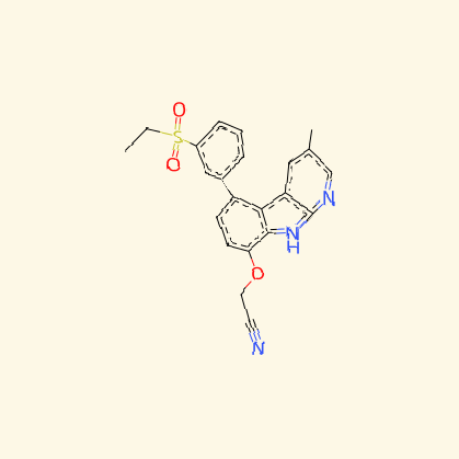 CCS(=O)(=O)c1cccc(-c2ccc(OCC#N)c3[nH]c4ncc(C)cc4c23)c1